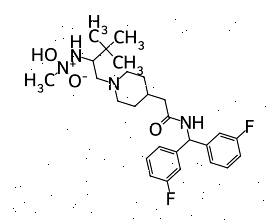 CC(C)(C)C(CN1CCC(CC(=O)NC(c2cccc(F)c2)c2cccc(F)c2)CC1)N[N+](C)([O-])O